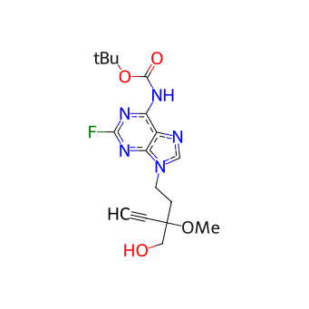 C#CC(CO)(CCn1cnc2c(NC(=O)OC(C)(C)C)nc(F)nc21)OC